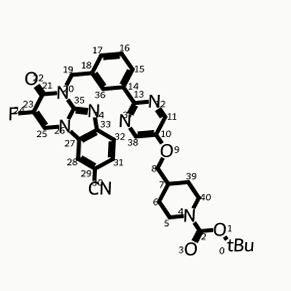 CC(C)(C)OC(=O)N1CCC(COc2cnc(-c3cccc(Cn4c(=O)c(F)cn5c6cc(C#N)ccc6nc45)c3)nc2)CC1